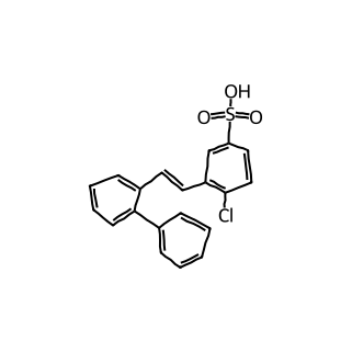 O=S(=O)(O)c1ccc(Cl)c(/C=C/c2ccccc2-c2ccccc2)c1